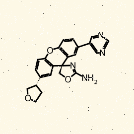 NC1=N[C@@]2(CO1)c1cc(-c3cncnc3)ccc1Oc1ccc([C@@H]3CCOC3)cc12